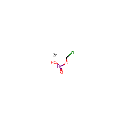 O=[PH](O)OCCl.[Zr]